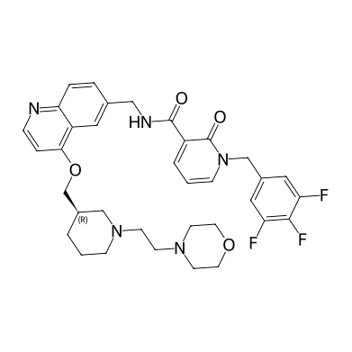 O=C(NCc1ccc2nccc(OC[C@@H]3CCCN(CCN4CCOCC4)C3)c2c1)c1cccn(Cc2cc(F)c(F)c(F)c2)c1=O